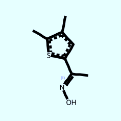 C/C(=N\O)c1cc(C)c(C)s1